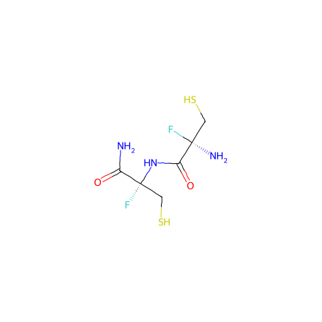 NC(=O)[C@](F)(CS)NC(=O)[C@@](N)(F)CS